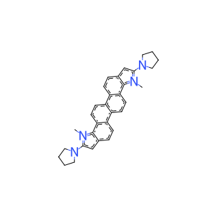 Cn1c(N2CCCC2)cc2ccc3c4ccc5c(ccc6cc(N7CCCC7)n(C)c65)c4ccc3c21